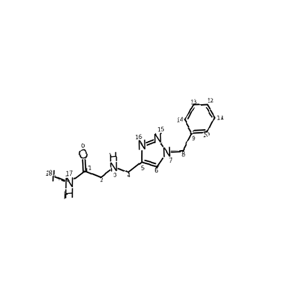 O=C(CNCc1cn(Cc2ccccc2)nn1)NI